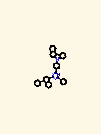 c1ccc(-c2nc(-c3ccc(-n4c5ccccc5c5c6ccccc6ccc54)cc3)nc(-c3ccc(-c4ccccc4)c4ccccc34)n2)cc1